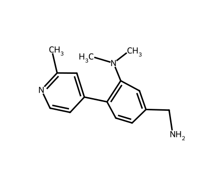 Cc1cc(-c2ccc(CN)cc2N(C)C)ccn1